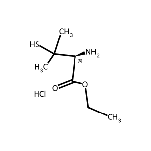 CCOC(=O)[C@H](N)C(C)(C)S.Cl